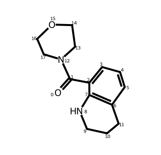 O=C(c1cccc2c1NCCC2)N1CCOCC1